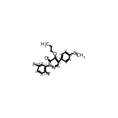 CCCOc1c(-c2ccc(SC)cc2)cnn(-c2cc(F)ccc2F)c1=O